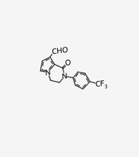 O=Cc1ccn2c1C(=O)N(c1ccc(C(F)(F)F)cc1)CC2